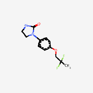 O=C1[N]CCN1c1ccc(OCC(F)(F)C(F)(F)F)cc1